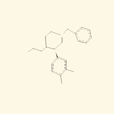 OCCC1CCN(Cc2ccccc2)C[C@H]1c1ccc(F)c(F)c1